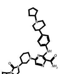 NC(=O)c1ncc(N2CCCC(N3CCN(C4CC4)C3=O)C2)nc1Nc1ccc(C2CCN(C3CCCC3)CC2)cc1